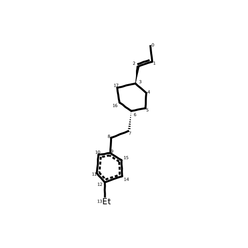 CC=C[C@H]1CC[C@H](CCc2ccc(CC)cc2)CC1